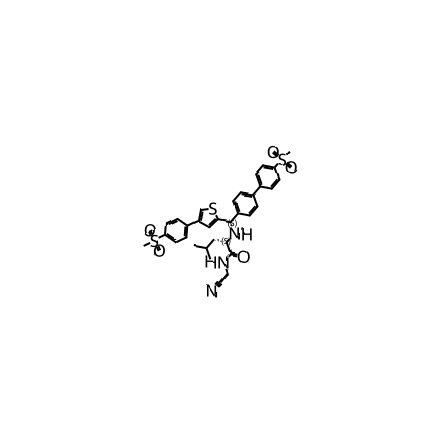 CC(C)C[C@H](N[C@@H](c1ccc(-c2ccc(S(C)(=O)=O)cc2)cc1)c1cc(-c2ccc(S(C)(=O)=O)cc2)cs1)C(=O)NCC#N